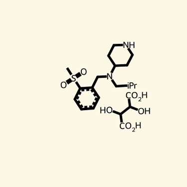 CC(C)CN(Cc1ccccc1S(C)(=O)=O)C1CCNCC1.O=C(O)C(O)C(O)C(=O)O